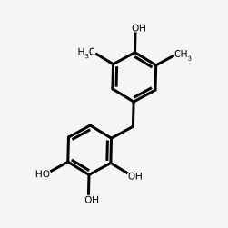 Cc1cc(Cc2ccc(O)c(O)c2O)cc(C)c1O